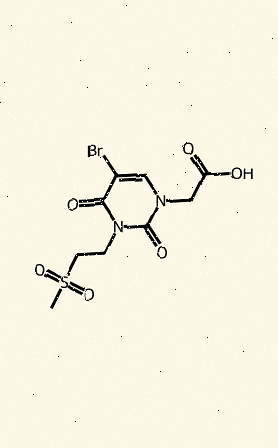 CS(=O)(=O)CCn1c(=O)c(Br)cn(CC(=O)O)c1=O